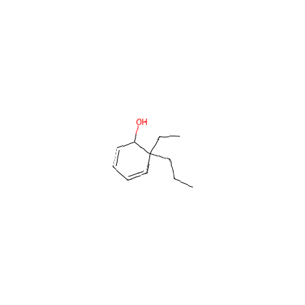 CCCC1(CC)C=CC=CC1O